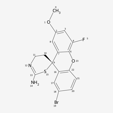 COc1cc(F)c2c(c1)[C@]1(CCN=C(N)S1)c1cc(Br)ccc1O2